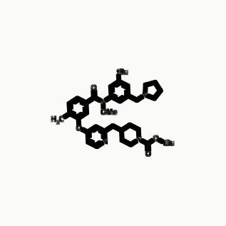 CON(C(=O)c1ccc(C)c(Oc2ccnc(CC3CCN(C(=O)OC(C)(C)C)CC3)c2)c1)c1cc(CN2CCCC2)cc(C(C)(C)C)c1